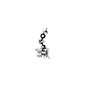 CN1C(=N)N[C@](C)(c2sc(-c3nnc(C4=CC=C(OC(F)F)CC4)o3)cc2Cl)CS1(=O)=O